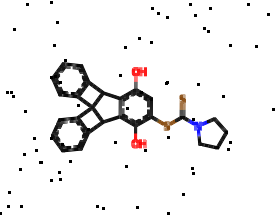 Oc1cc(SC(=S)N2CCCC2)c(O)c2c1C1c3ccccc3C13c1ccccc1C23